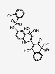 CCCC1(CCC)C(=O)C(C2=NS(O)(O)c3cc(NS(=O)(=O)c4ccccc4Cl)ccc3N2)=C(O)c2ccccc21